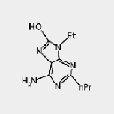 CCCc1nc(N)c2nc(O)n(CC)c2n1